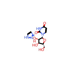 O=c1ccn([C@@H]2O[C@H](CO)[C@@H](O)[C@H]2O)c(=O)[nH]1.c1c[nH]nn1